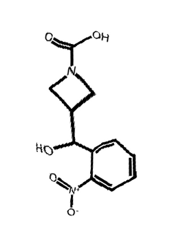 O=C(O)N1CC(C(O)c2ccccc2[N+](=O)[O-])C1